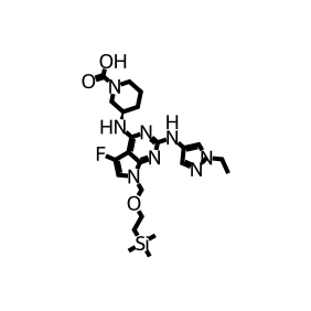 CCn1cc(Nc2nc(N[C@@H]3CCCN(C(=O)O)C3)c3c(F)cn(COCC[Si](C)(C)C)c3n2)cn1